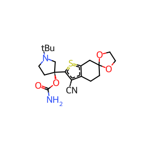 CC(C)(C)N1CC[C@@](OC(N)=O)(c2sc3c(c2C#N)CCC2(C3)OCCO2)C1